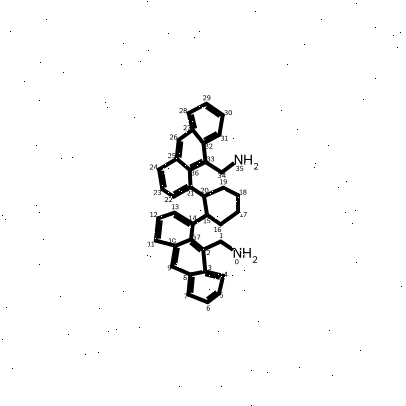 NCc1c2ccccc2cc2cccc(C3CCCCC3c3cccc4cc5ccccc5c(CN)c34)c12